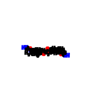 CC1(C)/C(=N/O[C@H]2CCNC2)CC[C@@]2(C)C1CC[C@@H]1[C@H]2CC[C@]2(C)C(OC(=O)/C=C/C(=O)OC3CC[C@H]4[C@@H]5CCC6C(C)(C)/C(=N/O[C@H]7CCNC7)CC[C@]6(C)[C@@H]5CC[C@]34C)CC[C@@H]12